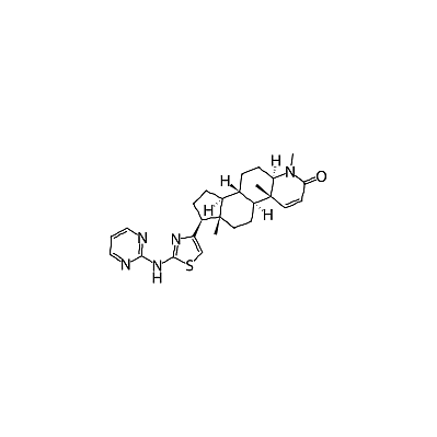 CN1C(=O)C=C[C@]2(C)[C@H]3CC[C@]4(C)[C@@H](c5csc(Nc6ncccn6)n5)CC[C@H]4[C@@H]3CC[C@@H]12